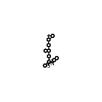 CC1(C)c2ccccc2-c2cc(-c3ccc(-c4ccc(-c5ccc(-c6cc7c8ccccc8sc7c7nc8cc9ccccc9cc8n67)cc5)c5ccccc45)cc3)ccc21